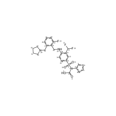 O=C(O)N(c1cscn1)S(=O)(=O)c1cc(C(F)F)c(NCc2c(F)cccc2CN2CCCC2)cn1